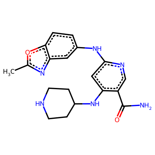 Cc1nc2cc(Nc3cc(NC4CCNCC4)c(C(N)=O)cn3)ccc2o1